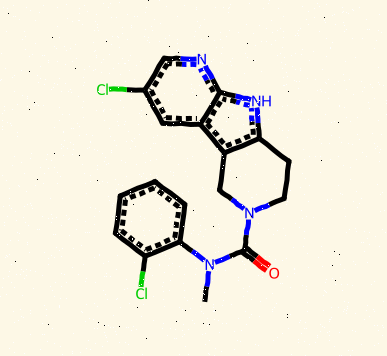 CN(C(=O)N1CCc2[nH]c3ncc(Cl)cc3c2C1)c1ccccc1Cl